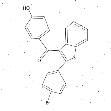 O=C(c1ccc(O)cc1)c1c(-c2ccc(Br)cc2)sc2ccccc12